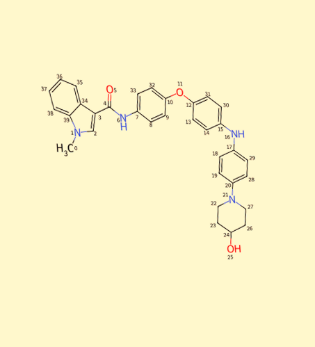 Cn1cc(C(=O)Nc2ccc(Oc3ccc(Nc4ccc(N5CCC(O)CC5)cc4)cc3)cc2)c2ccccc21